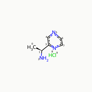 C[C@H](N)c1cnccn1.Cl